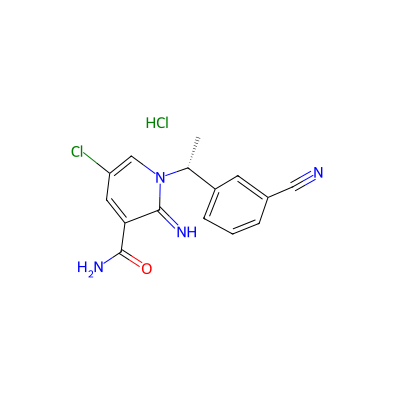 C[C@H](c1cccc(C#N)c1)n1cc(Cl)cc(C(N)=O)c1=N.Cl